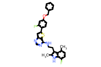 Cc1[nH]c2c(F)ccc(C)c2c1CCNc1ncnc2cc(-c3ccc(OCc4ccccc4)cc3F)sc12